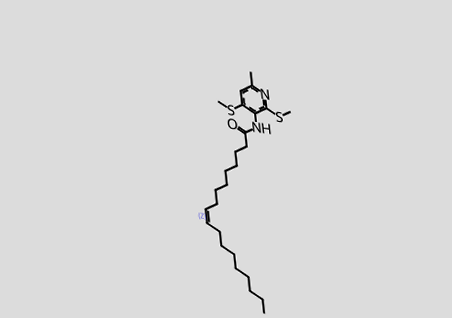 CCCCCCCC/C=C\CCCCCCCC(=O)Nc1c(SC)cc(C)nc1SC